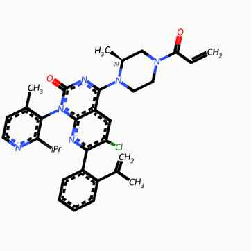 C=CC(=O)N1CCN(c2nc(=O)n(-c3c(C)ccnc3C(C)C)c3nc(-c4ccccc4C(=C)C)c(Cl)cc23)[C@@H](C)C1